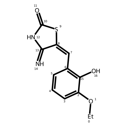 CCOc1cccc(C=C2SC(=O)NC2=N)c1O